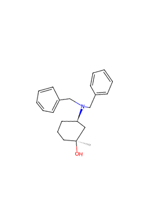 C[C@]1(O)CCC[C@@H](N(Cc2ccccc2)Cc2ccccc2)C1